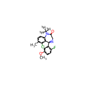 [3H]C([3H])([3H])N1C(=O)CN=C(c2cc(OC)ccc2F)c2c1ccc(C)c2Cl